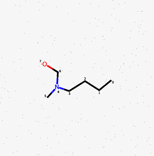 CCCCN(C)C[O]